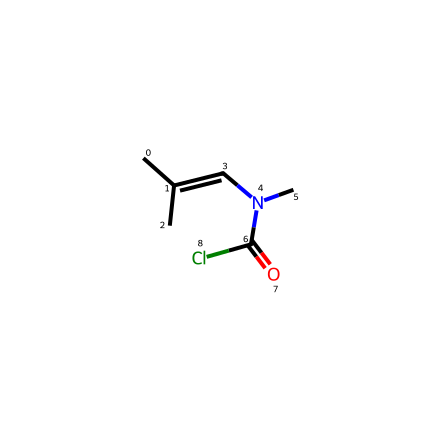 CC(C)=CN(C)C(=O)Cl